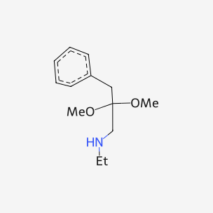 CCNCC(Cc1ccccc1)(OC)OC